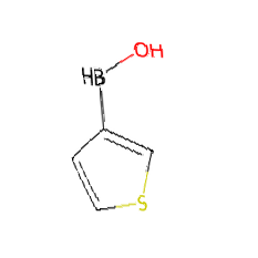 OBc1ccsc1